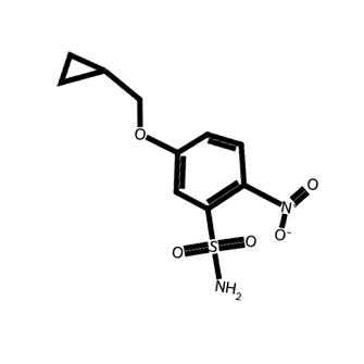 NS(=O)(=O)c1cc(OCC2CC2)ccc1[N+](=O)[O-]